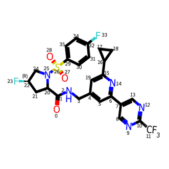 O=C(NCc1cc(-c2cnc(C(F)(F)F)nc2)nc(C2CC2)c1)C1C[C@@H](F)CN1S(=O)(=O)c1ccc(F)cc1